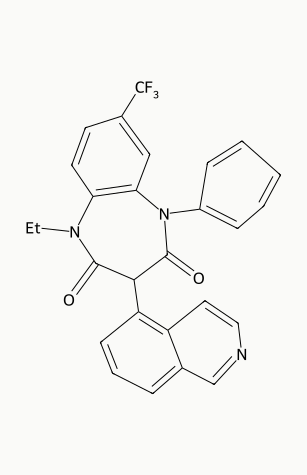 CCN1C(=O)C(c2cccc3cnccc23)C(=O)N(c2ccccc2)c2cc(C(F)(F)F)ccc21